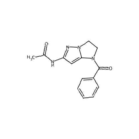 CC(=O)Nc1cc2n(n1)CCN2C(=O)c1ccccc1